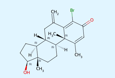 C=C1C[C@@H]2[C@H](CC[C@]3(C)[C@@H](O)CC[C@@H]23)[C@@]2(C)C(C)=CC(=O)C(Br)=C12